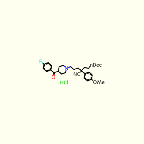 CCCCCCCCCCCCC(C#N)(CCCN1CCC(C(=O)c2ccc(F)cc2)CC1)c1ccc(OC)cc1.Cl